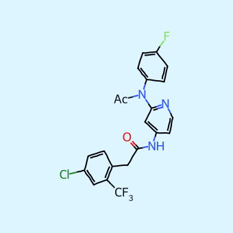 CC(=O)N(c1ccc(F)cc1)c1cc(NC(=O)Cc2ccc(Cl)cc2C(F)(F)F)ccn1